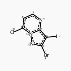 Clc1ccnc2c(I)c(Br)nn12